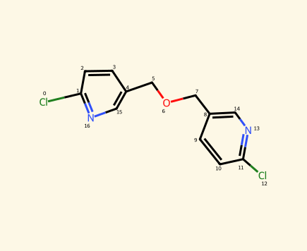 Clc1ccc(COCc2ccc(Cl)nc2)cn1